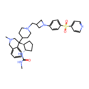 CNC(=O)N[C@H]1CCC[C@@H]1C1(C2CCN(CC3CN(c4ccc(S(=O)(=O)c5ccncc5)cc4)C3)CC2)CN(C)Cc2ccccc21